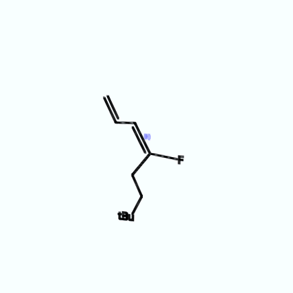 C=C/C=C(/F)CCC(C)(C)C